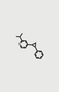 CC(C)c1cc(C2CC2c2ccccc2)ccn1